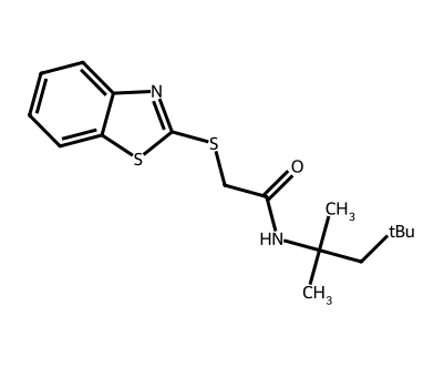 CC(C)(C)CC(C)(C)NC(=O)CSc1nc2ccccc2s1